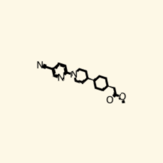 COC(=O)C[C@H]1CC[C@@H](C2CCN(c3ccc(C#N)cn3)CC2)CC1